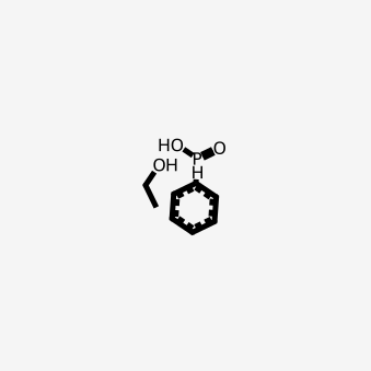 CCO.O=[PH](O)c1ccccc1